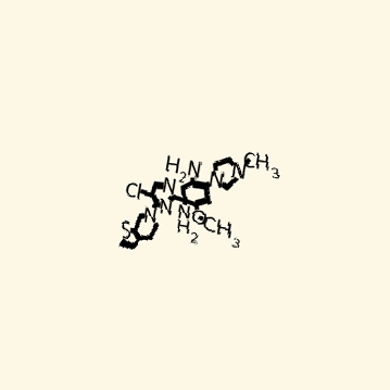 COC1=CC(N2CCN(C)CC2)=C(N)CC1(N)c1ncc(Cl)c(N2CCc3ccsc3C2)n1